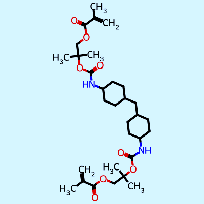 C=C(C)C(=O)OCC(C)(C)OC(=O)NC1CCC(CC2CCC(NC(=O)OC(C)(C)COC(=O)C(=C)C)CC2)CC1